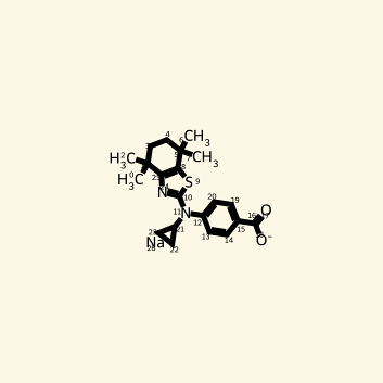 CC1(C)CCC(C)(C)c2sc(N(c3ccc(C(=O)[O-])cc3)C3CC3)nc21.[Na+]